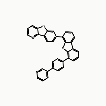 c1cncc(-c2ccc(-c3cccc4c3oc3c(-c5ccc6c(c5)oc5cccnc56)cccc34)cc2)c1